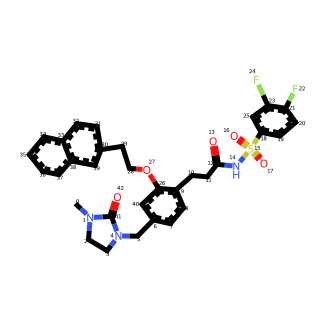 CN1CCN(Cc2ccc(CCC(=O)NS(=O)(=O)c3ccc(F)c(F)c3)c(OCCc3ccc4ccccc4c3)c2)C1=O